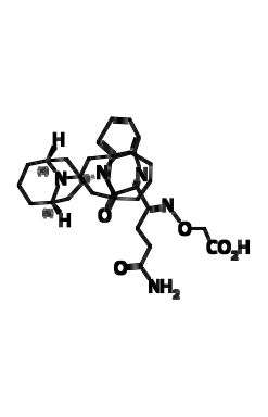 NC(=O)CCC(=NOCC(=O)O)c1nc2ccccc2n([C@H]2C[C@H]3CCC[C@@H](C2)N3C2CC3CCCCC(C3)C2)c1=O